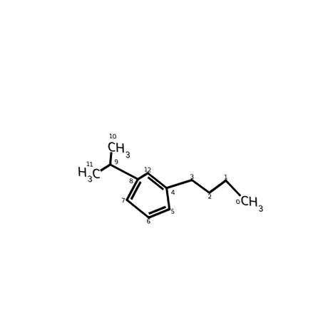 CCCCc1cccc(C(C)C)c1